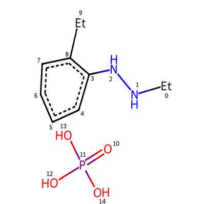 CCNNc1ccccc1CC.O=P(O)(O)O